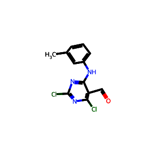 Cc1cccc(Nc2nc(Cl)nc(Cl)c2C=O)c1